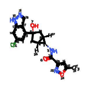 O=C(N[C@@H]1[C@@H]2C[C@@](O)(c3cc(Cl)cc4[nH]ncc34)C[C@@H]21)c1cc(C(F)(F)F)on1